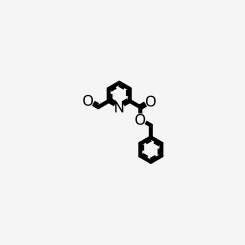 O=Cc1cccc(C(=O)OCc2ccccc2)n1